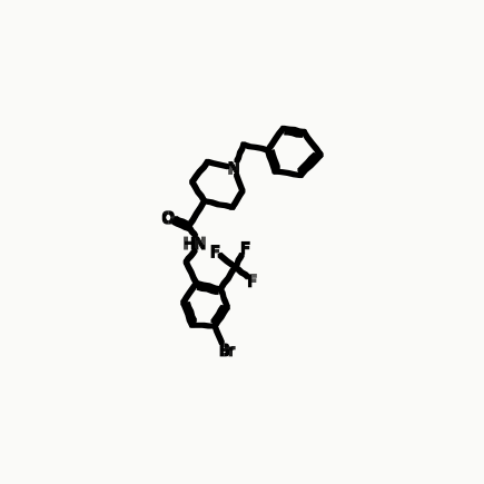 O=C(NCc1ccc(Br)cc1C(F)(F)F)C1CCN(Cc2ccccc2)CC1